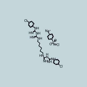 Cc1ccc(S(=O)(=O)[N-]Cl)cc1.N=C(NCCCCCCNC(=N)NC(=N)Nc1ccc(Cl)cc1)NC(=N)Nc1ccc(Cl)cc1.[Na+]